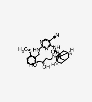 CSc1ccccc1CNc1ncc(C#N)c(NC[C@@]23CC4C[C@H](C2)[C@@H](N(C)CC[C@H](O)CO)[C@@H](C4)C3)n1